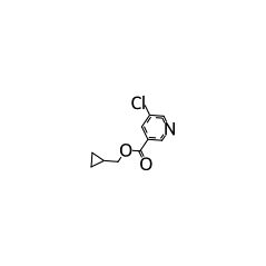 O=C(OCC1CC1)c1cncc(Cl)c1